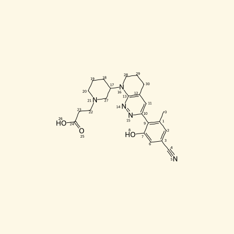 Cc1cc(C#N)cc(O)c1-c1cc2c(nn1)N(C1CCCN(CCC(=O)O)C1)CCC2